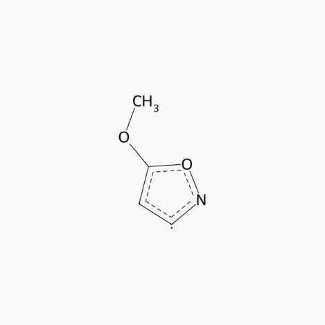 COc1c[c]no1